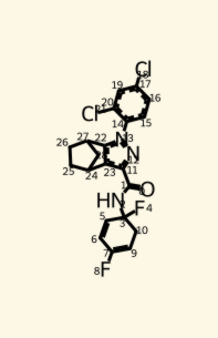 O=C(NC1(F)C=CC(F)=CC1)c1nn(-c2ccc(Cl)cc2Cl)c2c1C1CCC2C1